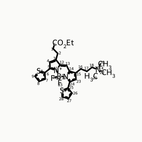 CCOC(=O)CCC1=CC(c2cccs2)=[N+]2C1=Cc1c(CCC[N+](C)(C)C)cc(-c3cccs3)n1[B-]2(F)F